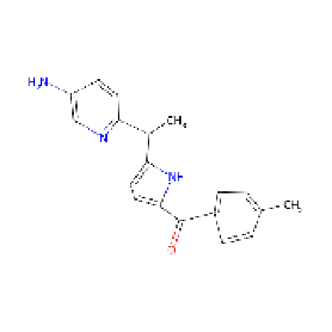 Cc1ccc(C(=O)c2ccc(C(C)c3ccc(N)cn3)[nH]2)cc1